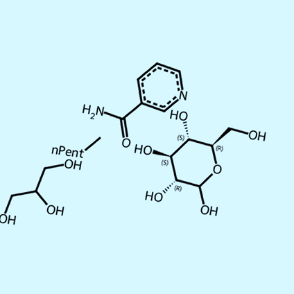 CCCCCC.NC(=O)c1cccnc1.OCC(O)CO.OC[C@H]1OC(O)[C@H](O)[C@@H](O)[C@@H]1O